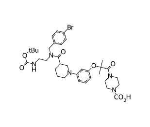 CC(C)(C)OC(=O)NCCN(Cc1ccc(Br)cc1)C(=O)C1CCCN(c2cccc(OC(C)(C)C(=O)N3CCN(C(=O)O)CC3)c2)C1